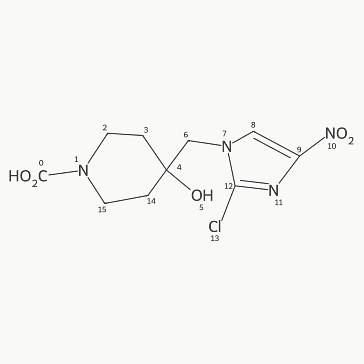 O=C(O)N1CCC(O)(Cn2cc([N+](=O)[O-])nc2Cl)CC1